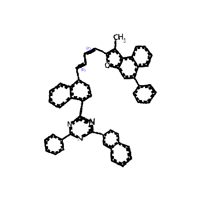 Cc1c(/C=C\C=C\c2ccc(-c3nc(-c4ccccc4)nc(-c4ccc5ccccc5c4)n3)c3ccccc23)oc2cc(-c3ccccc3)c3ccccc3c12